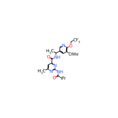 COc1cc(C(C)NC(=O)c2cc(C)nc(NC(=O)C(C)C)n2)cnc1OCC(F)(F)F